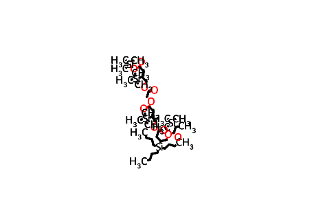 CCCC[Si](CCCC)(CCCC)C(COC(=O)C(C)[Si](C)(C)C)CC(=O)OCC(CC(=O)OCC(=O)OCC(CC(=O)O[Si](C)(C)C)[Si](C)(C)C)[Si](C)(C)C